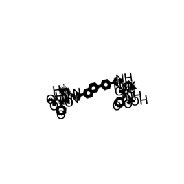 COC(=O)N[C@H](C(=O)N1[C@H]2C[C@@]2(C)C[C@H]1c1nc(-c2ccc3cc(-c4ccc(-c5c[nH]c([C@@H]6C[C@]7(C)C[C@@H]7N6C(=O)[C@@H](NC(=O)O)C6CCOCC6)n5)cc4)ccc3c2)c[nH]1)C1CCOCC1